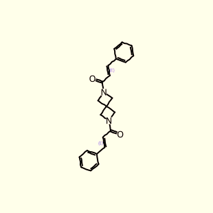 O=C(/C=C/c1ccccc1)N1CC2(C1)CN(C(=O)/C=C/c1ccccc1)C2